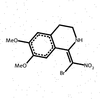 COc1cc2c(cc1OC)C(=C(Br)[N+](=O)[O-])NCC2